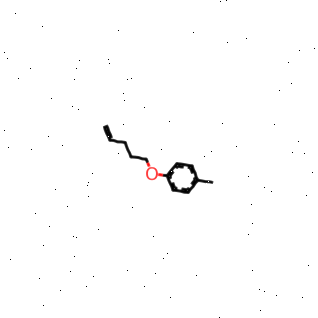 C=CCCCOc1ccc(C)cc1